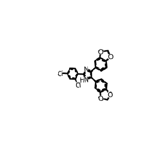 Clc1ccc(-c2nc(-c3ccc4c(c3)OCO4)c(-c3ccc4c(c3)OCO4)[nH]2)c(Cl)c1